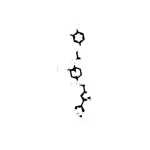 Cn1cc(-c2cc(C(=O)NC34CCC(NC(=O)COc5ccc(Cl)c(F)c5)(CC3)C(O)C4)on2)cn1